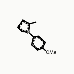 COc1ccc(-n2cccc2C)cc1